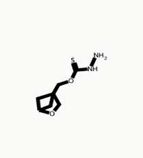 NNC(=S)OCC12COC(C1)C2